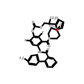 CCOC(=O)C(COC(=O)Oc1c(F)cc(NC(=O)c2ccccc2-c2ccc(C(F)(F)F)cc2)c(C(=O)N2CCC(O)CC2)c1F)(C(=O)OCC)c1cccs1